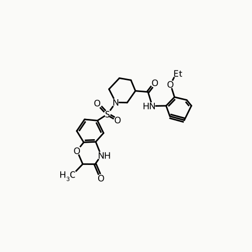 CCOc1ccc#cc1NC(=O)C1CCCN(S(=O)(=O)c2ccc3c(c2)NC(=O)C(C)O3)C1